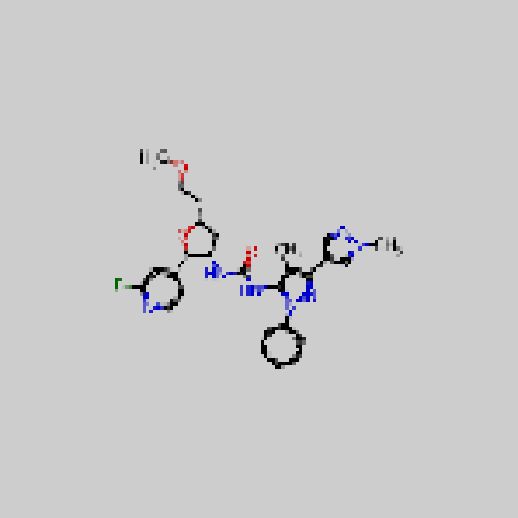 COCC[C@@H]1C[C@@H](NC(=O)Nc2c(C)c(-c3cnn(C)c3)nn2-c2ccccc2)[C@H](c2ccnc(F)c2)O1